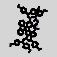 CO/C1=C/C=C(C)/C(c2ccc(OC)cc2)=C\N(C=C(c2ccc(OC)cc2)c2ccc(OC)cc2)c2cc1c1c(c2)C2(c3ccccc3-c3ccccc32)c2cc(N(C=C(c3ccc(OC)cc3)c3ccc(OC)cc3)C=C(c3ccc(OC)cc3)c3ccc(OC)cc3)ccc2-1